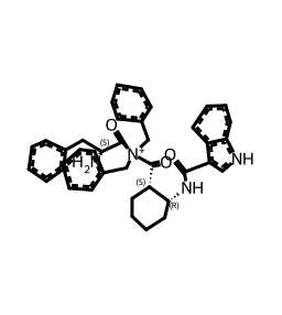 N[C@@H](Cc1ccccc1)C(=O)[N+](Cc1ccccc1)(Cc1ccccc1)C(=O)[C@H]1CCCC[C@H]1NC(=O)c1c[nH]c2ccccc12